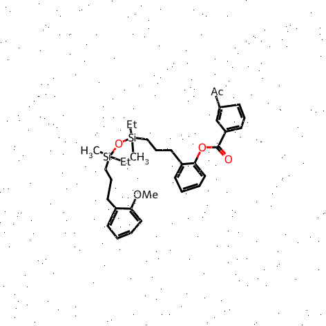 CC[Si](C)(CCCc1ccccc1OC)O[Si](C)(CC)CCCc1ccccc1OC(=O)c1cccc(C(C)=O)c1